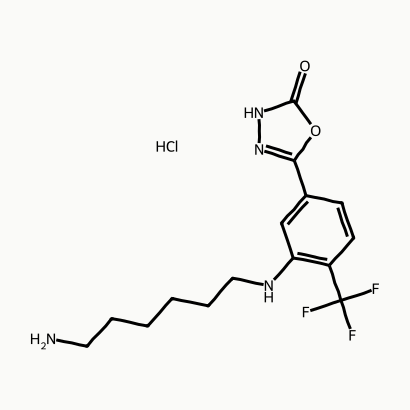 Cl.NCCCCCCNc1cc(-c2n[nH]c(=O)o2)ccc1C(F)(F)F